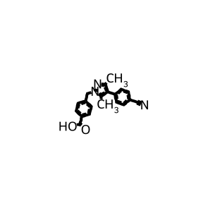 Cc1nn(Cc2ccc(C(=O)O)cc2)c(C)c1-c1ccc(C#N)cc1